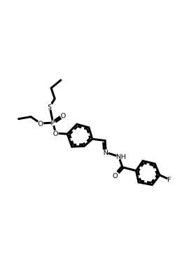 CCCSP(=O)(OCC)Oc1ccc(C=NNC(=O)c2ccc(F)cc2)cc1